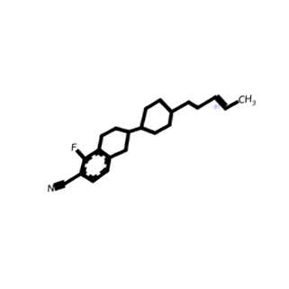 C/C=C/CCC1CCC(C2CCc3c(ccc(C#N)c3F)C2)CC1